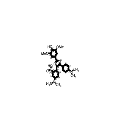 COc1cc(-c2nc(-c3ccc(N(C)C)cc3)c(-c3ccc(N(C)C)cc3[PH](=O)O)o2)cc(OC)c1O